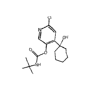 CC(C)(C)NC(=O)Oc1cnc(Cl)cc1C1(O)CCCCC1